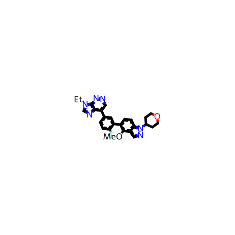 CCn1cnc2c(-c3ccc(F)c(-c4ccc5c(cnn5C5CCOCC5)c4OC)c3)cnnc21